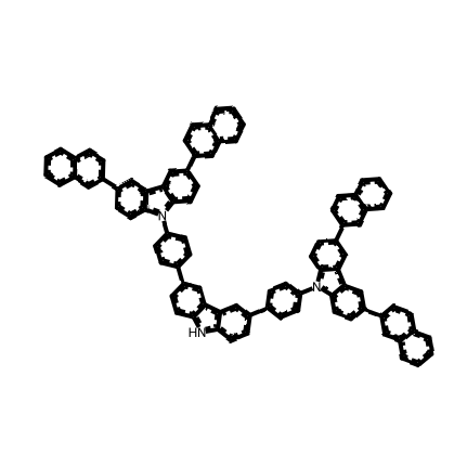 c1ccc2cc(-c3ccc4c(c3)c3cc(-c5ccc6ccccc6c5)ccc3n4-c3ccc(-c4ccc5[nH]c6ccc(-c7ccc(-n8c9ccc(-c%10ccc%11ccccc%11c%10)cc9c9cc(-c%10ccc%11ccccc%11c%10)ccc98)cc7)cc6c5c4)cc3)ccc2c1